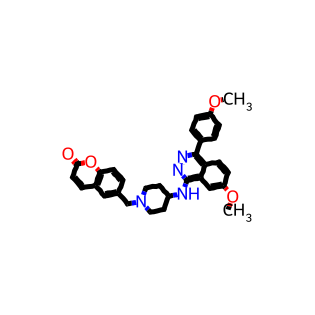 COc1ccc(-c2nnc(NC3CCN(Cc4ccc5oc(=O)ccc5c4)CC3)c3cc(OC)ccc23)cc1